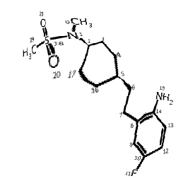 CN([C@H]1CC[C@@H](CCc2cc(F)ccc2N)CC1)S(C)(=O)=O